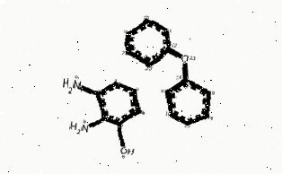 Nc1cccc(O)c1N.c1ccc(Oc2ccccc2)cc1